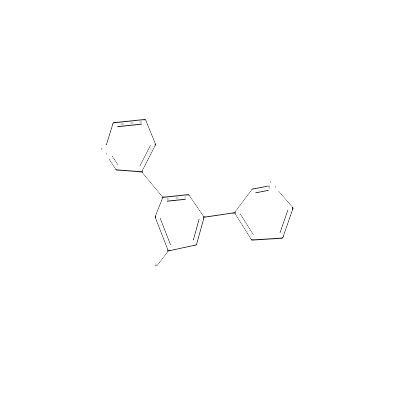 Clc1cc(-c2cccnc2)cc(-c2cccnc2)c1